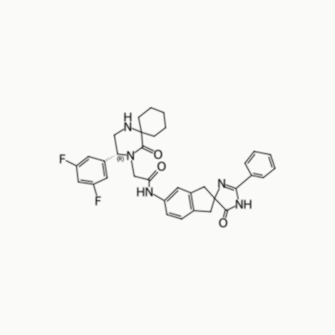 O=C(CN1C(=O)C2(CCCCC2)NC[C@H]1c1cc(F)cc(F)c1)Nc1ccc2c(c1)CC1(C2)N=C(c2ccccc2)NC1=O